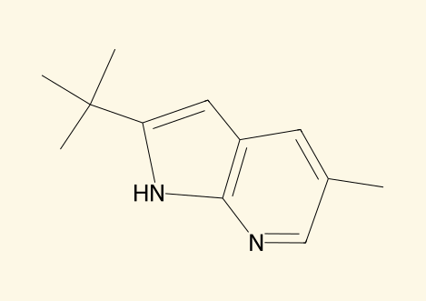 Cc1cnc2[nH]c(C(C)(C)C)cc2c1